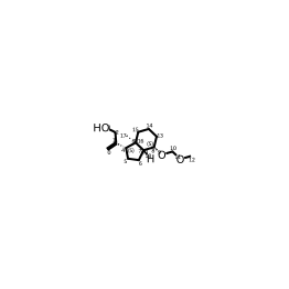 C=C(CO)[C@H]1CC[C@H]2[C@@H](OCOC)CCC[C@]12C